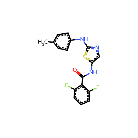 Cc1ccc(Nc2ncc(NC(=O)c3c(F)cccc3F)s2)cc1